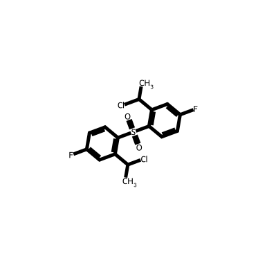 CC(Cl)c1cc(F)ccc1S(=O)(=O)c1ccc(F)cc1C(C)Cl